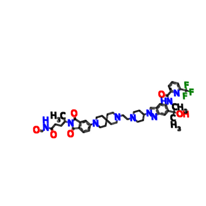 CC(CCC(=O)NC=O)N1C(=O)c2ccc(N3CCC4(CCN(CCN5CCC(n6cc7cc(NC(=O)c8cccc(C(F)(F)F)n8)c(C(C)(C)O)cc7n6)CC5)CC4)CC3)cc2C1=O